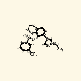 CC(C)Cn1cc(-c2ccc3c(c2)N(S(=O)(=O)c2cccc(C(F)(F)F)c2)CCO3)cn1